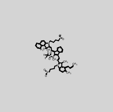 C=c1ccc2c(/c1=C/C=C\C)C(C)C(/C=C/C1=C(N(C)S(=O)(=O)C(F)(F)F)C(=C/C=C3/N(CCCC[SH](=O)=O)c4ccc5ccccc5c4C3(C)C)/c3ccccc31)=[N+]2CCCC[SH](=O)=O